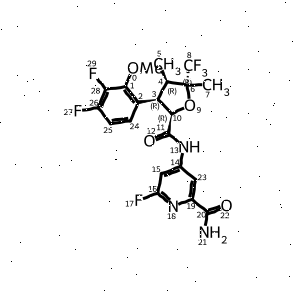 COc1c([C@H]2[C@@H](C)[C@](C)(C(F)(F)F)O[C@H]2C(=O)Nc2cc(F)nc(C(N)=O)c2)ccc(F)c1F